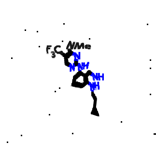 CNc1nc(Nc2cccc(NCCC3CC3)c2C=N)ncc1C(F)(F)F